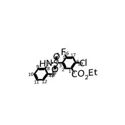 CCOC(=O)c1cc(S(=O)(=O)Nc2ccccc2F)c(F)cc1Cl